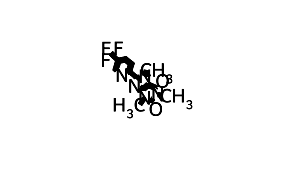 Cn1c(=O)c2c(nc(-c3ccc(C(F)(F)F)cn3)n2C)n(C)c1=O